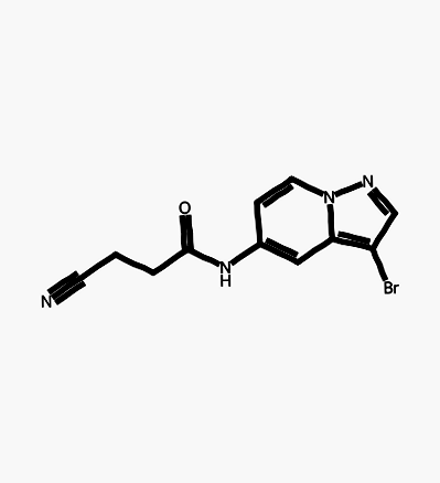 N#CCCC(=O)Nc1ccn2ncc(Br)c2c1